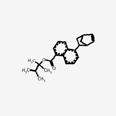 CC(C)C(C)(C)OC(=O)c1cccc2c(C3CC4C=CC3C4)cccc12